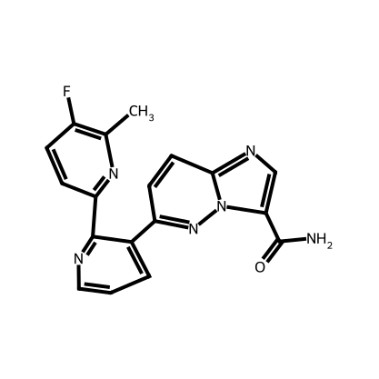 Cc1nc(-c2ncccc2-c2ccc3ncc(C(N)=O)n3n2)ccc1F